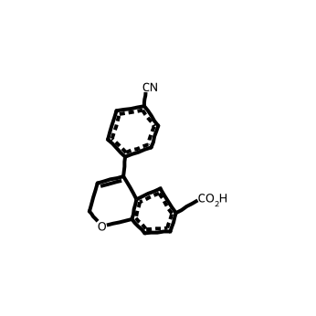 N#Cc1ccc(C2=CCOc3ccc(C(=O)O)cc32)cc1